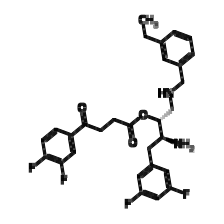 CCc1cccc(CNC[C@@H](OC(=O)CCC(=O)c2ccc(F)c(F)c2)[C@@H](N)Cc2cc(F)cc(F)c2)c1